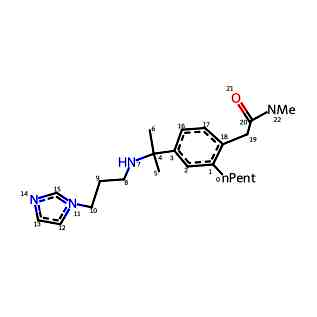 CCCCCc1cc(C(C)(C)NCCCn2ccnc2)ccc1CC(=O)NC